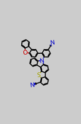 N#Cc1ccc(-n2c3ccccc3c3c4sc5c(C#N)cccc5c4ccc32)c(-c2ccc3oc4ccccc4c3c2)c1